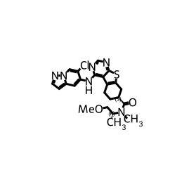 COC[C@@H](C)N(C)C(=O)[C@H]1CCc2c(sc3ncnc(Nc4cc5ccnn5cc4Cl)c23)C1